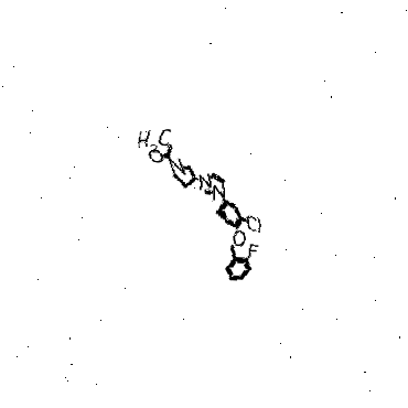 C=CC(=O)N1CC[C@@H](N2C=CN(c3ccc(OCc4ccccc4F)c(Cl)c3)C2)C1